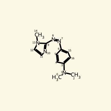 CN(C)c1ccc(/N=N\c2nccn2C)cc1